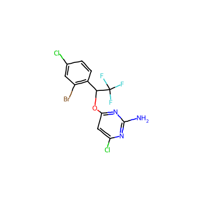 Nc1nc(Cl)cc(OC(c2ccc(Cl)cc2Br)C(F)(F)F)n1